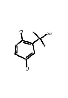 CC(C)(S)c1cc(Cl)ccc1Cl